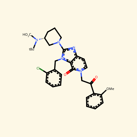 COc1ccccc1C(=O)Cn1ccc2nc(N3CCC[C@@H](N(C(=O)O)C(C)(C)C)C3)n(Cc3ccccc3Cl)c2c1=O